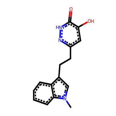 Cn1cc(CCc2cc(O)c(=O)[nH]n2)c2ccccc21